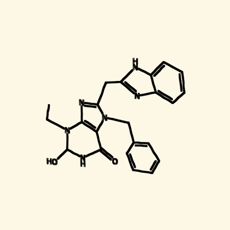 CCN1c2nc(Cc3nc4ccccc4[nH]3)n(Cc3ccccc3)c2C(=O)NC1O